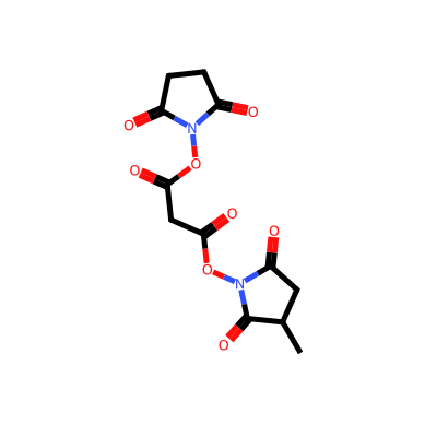 CC1CC(=O)N(OC(=O)CC(=O)ON2C(=O)CCC2=O)C1=O